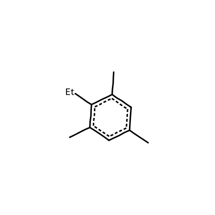 CCc1c(C)cc(C)cc1C